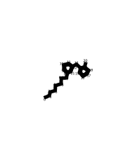 CCCCCCCCc1cccc(Cc2ccccc2C)c1